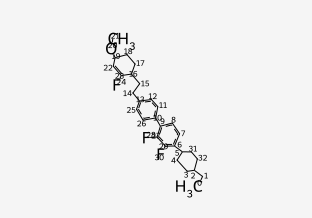 CCC1CCC(c2ccc(-c3ccc(CCC4CCC(OC)C=C4F)cc3)c(F)c2F)CC1